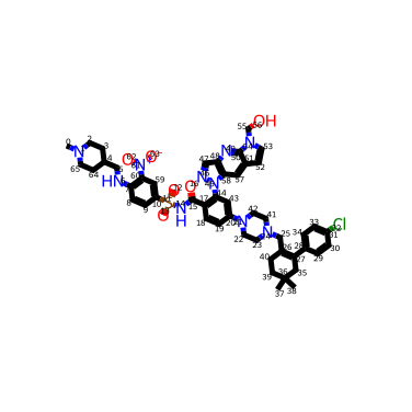 CN1CCC(CNc2ccc(S(=O)(=O)NC(=O)c3ccc(N4CCN(CC5=C(c6ccc(Cl)cc6)CC(C)(C)CC5)CC4)cc3-n3ncc4nc5c(ccn5CO)cc43)cc2[N+](=O)[O-])CC1